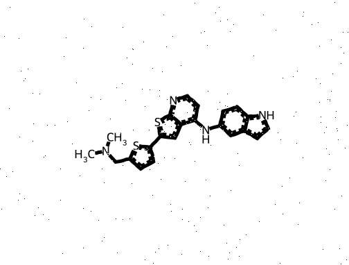 CN(C)Cc1ccc(-c2cc3c(Nc4ccc5[nH]ccc5c4)ccnc3s2)s1